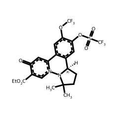 CCOC(=O)c1cn2c(cc1=O)-c1cc(OC(F)(F)F)c(OS(=O)(=O)C(F)(F)F)cc1[C@H]1CCC(C)(C)N12